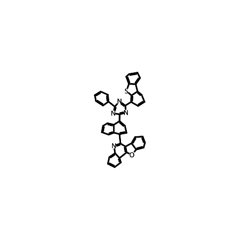 c1ccc(-c2nc(-c3ccc(-c4nc5ccccc5c5oc6ccccc6c45)c4ccccc34)nc(-c3cccc4c3sc3ccccc34)n2)cc1